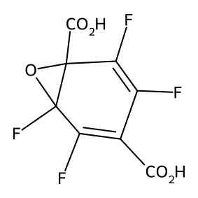 O=C(O)C1=C(F)C2(F)OC2(C(=O)O)C(F)=C1F